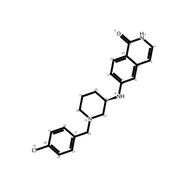 O=c1[nH]ccc2cc(N[C@@H]3CCCN(Cc4ccc(Cl)cc4)C3)ccc12